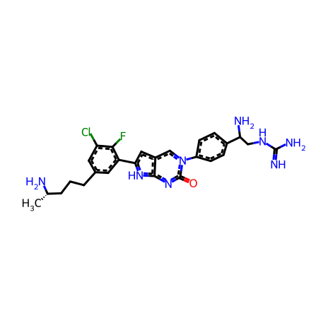 C[C@H](N)CCCc1cc(Cl)c(F)c(-c2cc3cn(-c4ccc(C(N)CNC(=N)N)cc4)c(=O)nc3[nH]2)c1